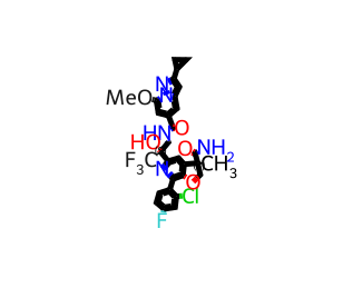 COc1cc(C(=O)NC[C@](O)(c2cc3c(c(-c4ccc(F)cc4Cl)n2)OC[C@]3(C)C(N)=O)C(F)(F)F)cc2cc(C3CC3)nn12